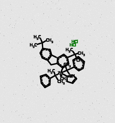 Cl.Cl.[CH2]=[Zr]([C]1=CC=CC1)([c]1cc(C(C)(C)C)cc2c1Cc1ccc(C(C)(C)C)cc1-2)([C](C)(C)c1ccccc1)[C](C)(C)c1ccccc1